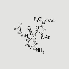 CC(=O)OC1CC([C@@H](OC(C)=O)C(F)(F)F)OC1n1c(=O)n(CC2CC2)c2cnc(N)nc21